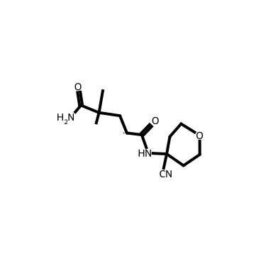 CC(C)(C[CH]C(=O)NC1(C#N)CCOCC1)C(N)=O